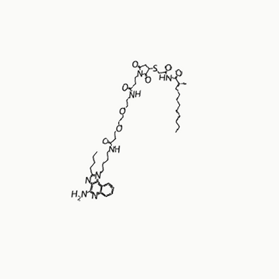 CCCCCCCCC[C@H](C)C(=O)NC(=O)CSC1CC(=O)N(CCC(=O)NCCOCCOCCC(=O)NCCCCn2c(CCCC)nc3c(N)nc4ccccc4c32)C1=O